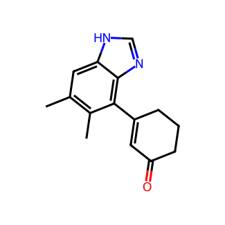 Cc1cc2[nH]cnc2c(C2=CC(=O)CCC2)c1C